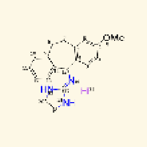 COc1ccc2c(c1)CCc1ccccc1C2N=C1NCCN1.I